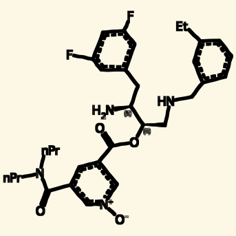 CCCN(CCC)C(=O)c1cc(C(=O)O[C@H](CNCc2cccc(CC)c2)[C@@H](N)Cc2cc(F)cc(F)c2)c[n+]([O-])c1